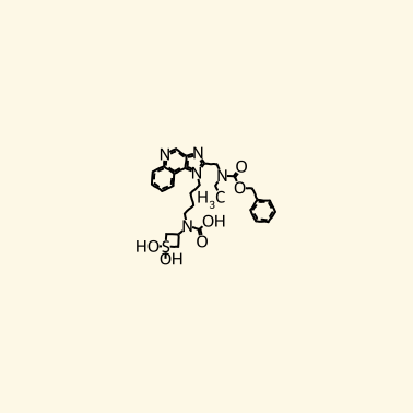 CCN(Cc1nc2cnc3ccccc3c2n1CCCCN(C(=O)O)C1CS(O)(O)C1)C(=O)OCc1ccccc1